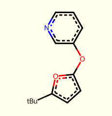 CC(C)(C)c1ccc(Oc2cccnc2)o1